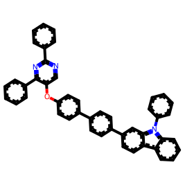 c1ccc(-c2ncc(Oc3ccc(-c4ccc(-c5ccc6c7ccccc7n(-c7ccccc7)c6c5)cc4)cc3)c(-c3ccccc3)n2)cc1